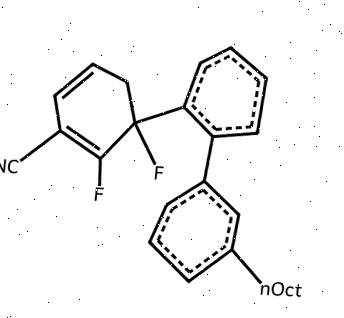 CCCCCCCCc1cccc(-c2ccccc2C2(F)CC=CC(C#N)=C2F)c1